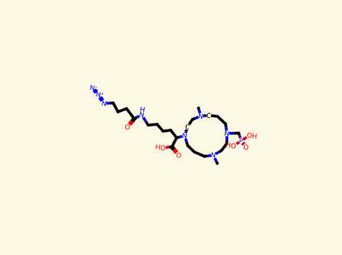 CN1CCCN(C(CCCCNC(=O)CCCN=[N+]=[N-])C(=O)O)CCN(C)CCCN(CP(=O)(O)O)CC1